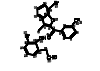 Cc1c(C(=O)c2cccc(C(F)(F)F)c2)oc2c(Br)cccc12.O=CCc1cccc(Br)c1O